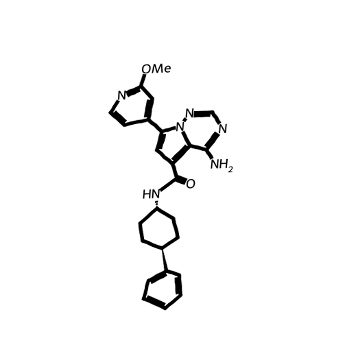 COc1cc(-c2cc(C(=O)N[C@H]3CC[C@H](c4ccccc4)CC3)c3c(N)ncnn23)ccn1